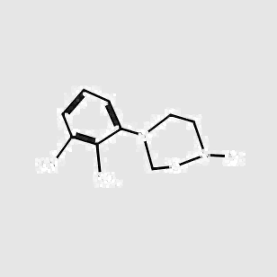 CC(=O)N1CCN(c2cccc(N)c2[N+](=O)[O-])CC1